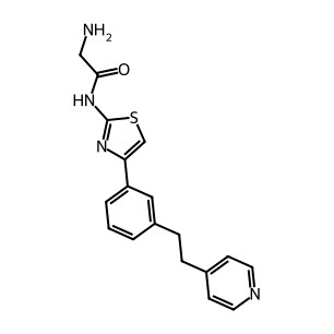 NCC(=O)Nc1nc(-c2cccc(CCc3ccncc3)c2)cs1